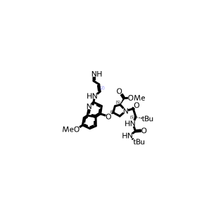 COC(=O)[C@@H]1C[C@@H](Oc2cc(N/C=C\C=N)nc3cc(OC)ccc23)CN1C(=O)[C@@H](NC(=O)NC(C)(C)C)C(C)(C)C